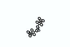 c1ccc2c(-n3c4ccccc4c4ccccc43)c3ccccc3c(-c3ccc4c(c3)sc3ccc(-c5c6ccccc6c(-n6c7ccccc7c7ccccc76)c6ccccc56)cc34)c2c1